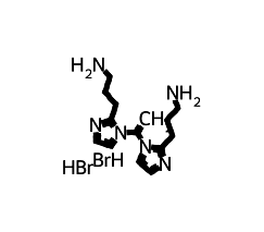 Br.Br.C=C(n1ccnc1CCCN)n1ccnc1CCCN